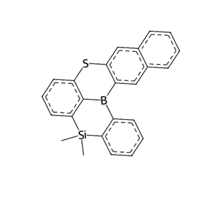 C[Si]1(C)c2ccccc2B2c3cc4ccccc4cc3Sc3cccc1c32